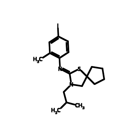 Cc1cc(I)ccc1N=C1SC2(CCCC2)CN1CC(C)C